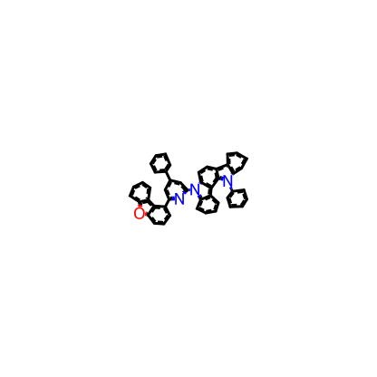 c1ccc(-c2cc(-c3cccc4oc5ccccc5c34)nc(-n3c4ccccc4c4c3ccc3c5ccccc5n(-c5ccccc5)c34)c2)cc1